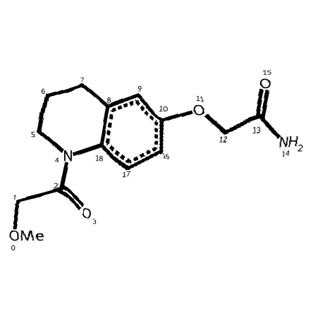 COCC(=O)N1CCCc2cc(OCC(N)=O)ccc21